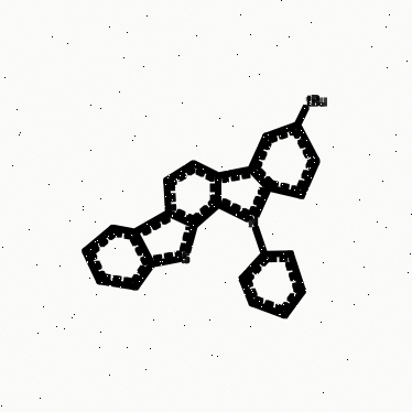 CC(C)(C)c1ccc2c(c1)c1ccc3c4ccccc4sc3c1n2-c1ccccc1